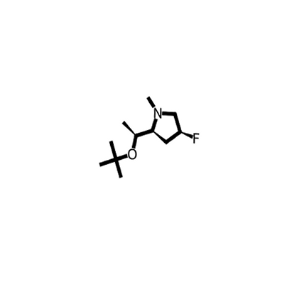 C[C@H](OC(C)(C)C)[C@@H]1C[C@H](F)CN1C